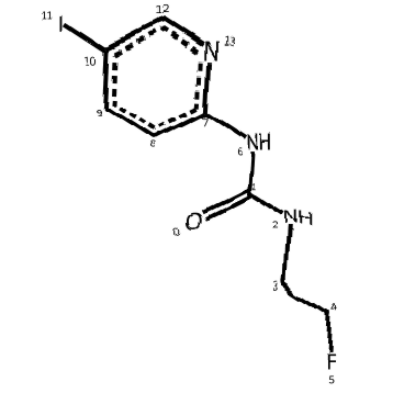 O=C(NCCF)Nc1ccc(I)cn1